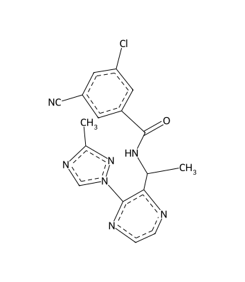 Cc1ncn(-c2nccnc2C(C)NC(=O)c2cc(Cl)cc(C#N)c2)n1